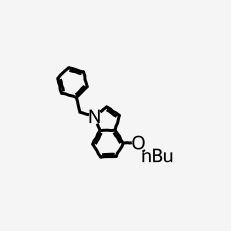 CCCCOc1cccc2c1ccn2Cc1ccccc1